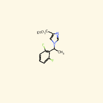 CCOC(=O)c1cn(C(C)c2c(F)cccc2F)cn1